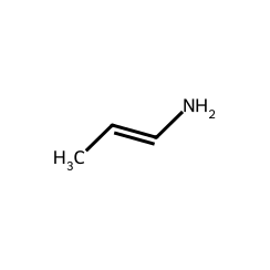 CC=CN